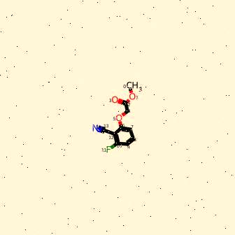 COC(=O)COc1cccc(F)c1C#N